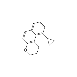 c1cc(C2CC2)c2c3c(ccc2c1)OCCC3